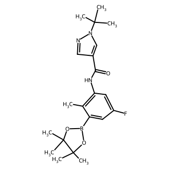 Cc1c(NC(=O)c2cnn(C(C)(C)C)c2)cc(F)cc1B1OC(C)(C)C(C)(C)O1